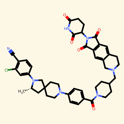 C[C@H]1CC2(CCN(c3ccc(C(=O)N4CCC(CN5CCc6cc7c(cc6C5)C(=O)N(C5CCC(=O)NC5=O)C7=O)CC4)cc3)CC2)CN1c1ccc(C#N)c(Cl)c1